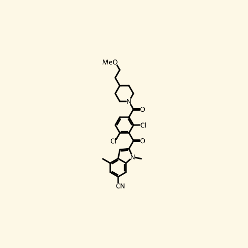 COCCC1CCN(C(=O)c2ccc(Cl)c(C(=O)c3cc4c(C)cc(C#N)cc4n3C)c2Cl)CC1